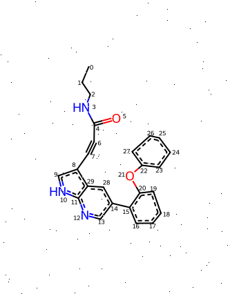 CCCNC(=O)C#Cc1c[nH]c2ncc(-c3ccccc3Oc3ccccc3)cc12